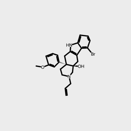 C=CCN1CC[C@@]2(c3cccc(OC)c3)Cc3[nH]c4cccc(Br)c4c3C[C@]2(O)C1